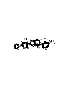 CN1C2=C(SC1c1ccc(N3CCCC3)nc1)C(=O)N(c1cccc(N)c1F)CC2